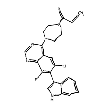 C=CC(=O)N1CCN(c2ncnc3c(F)c(-c4c[nH]c5ccccc45)c(Cl)cc23)CC1